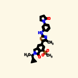 Cc1nc(Nc2cccc(N3CCCC3=O)c2)sc1-c1cc2c(c(S(C)(=O)=O)c1)C(=O)N([C@@H](C)C1CC1)C2